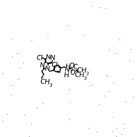 CCCCc1nc2c(Cl)nnc(Cl)c2n1Cc1ccc(CNC(=O)OC(C)(C)C)cc1